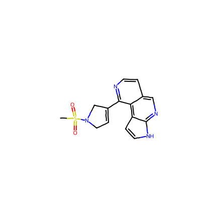 CS(=O)(=O)N1CC=C(c2nccc3cnc4[nH]ccc4c23)C1